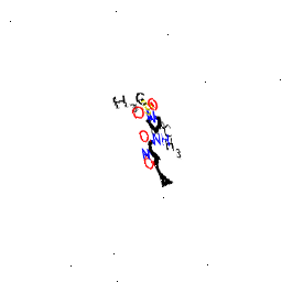 C[C@H]1CN(S(C)(=O)=O)C[C@H]1NC(=O)c1cc(C2CC2)on1